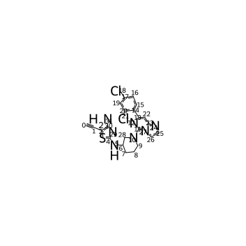 C#Cc1sc(NC2CCCN(c3nc(-c4ccc(Cl)cc4Cl)cc4nccn34)C2)nc1N